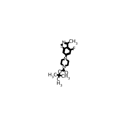 Cc1nsc2cc(N3CCN(C(=O)OC(C)(C)C)CC3)cc(F)c12